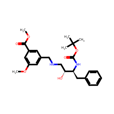 COC(=O)c1cc(CNC[C@@H](O)[C@H](Cc2ccccc2)NC(=O)OC(C)(C)C)cc(OC)c1